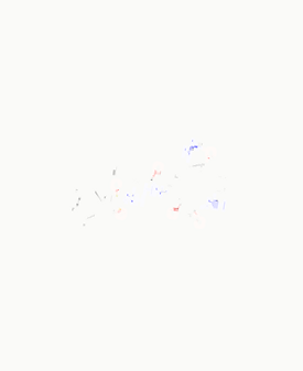 CC(C)C(NS(=O)(=O)c1ccccc1)C(=O)NC1Cc2nnoc2CCNC(=O)C1=O